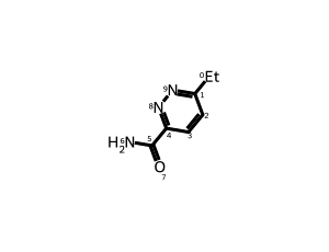 CCc1ccc(C(N)=O)nn1